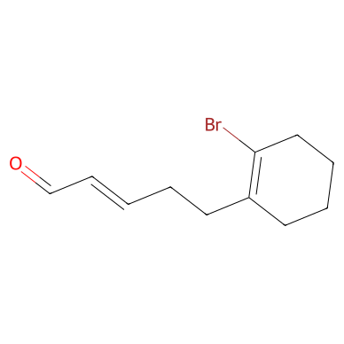 O=CC=CCCC1=C(Br)CCCC1